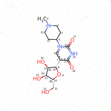 CN1CCC(n2cc([C@@H]3O[C@H](CO)[C@@H](O)[C@H]3O)c(=O)[nH]c2=O)CC1